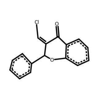 O=C1C(=CCl)C(c2ccccc2)Oc2ccccc21